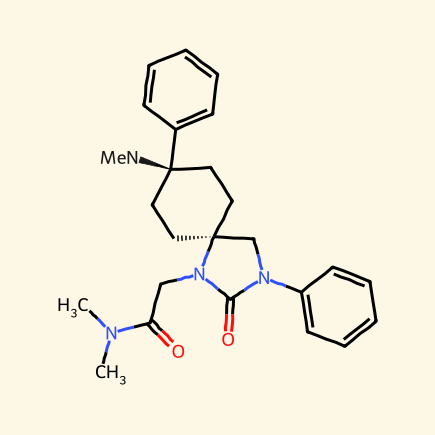 CN[C@]1(c2ccccc2)CC[C@]2(CC1)CN(c1ccccc1)C(=O)N2CC(=O)N(C)C